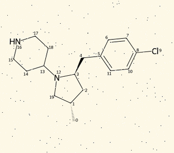 C[C@H]1C[C@H](Cc2ccc(Cl)cc2)N(C2CCNCC2)C1